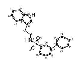 O=S(=O)(NCCc1c[nH]c2ccccc12)c1cccc(-c2ccccc2)c1